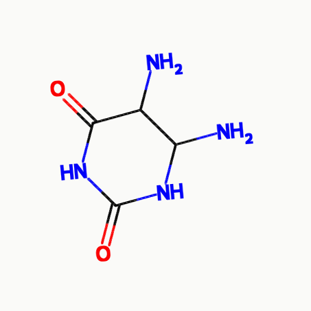 NC1NC(=O)NC(=O)C1N